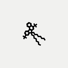 CCCCCCCCC1(CCCCCCCC)c2cc(C(C)(C)C)ccc2-c2c1cc(C(C)(C)C)c1ccccc21